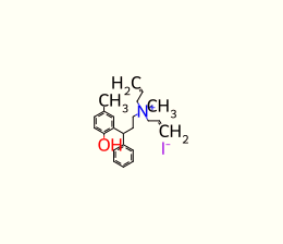 C=CC[N+](C)(CC=C)CCC(c1ccccc1)c1cc(C)ccc1O.[I-]